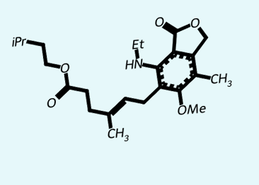 CCNc1c(C/C=C(\C)CCC(=O)OCCC(C)C)c(OC)c(C)c2c1C(=O)OC2